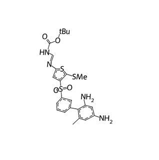 CSc1sc(N=CNC(=O)OC(C)(C)C)cc1S(=O)(=O)c1cccc(-c2c(C)cc(N)cc2N)c1